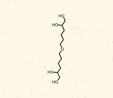 OCC(O)CCCCOCCCCC(O)CO